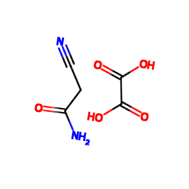 N#CCC(N)=O.O=C(O)C(=O)O